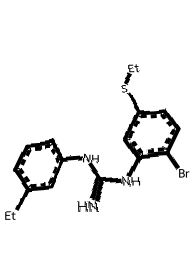 CCSc1ccc(Br)c(NC(=N)Nc2cccc(CC)c2)c1